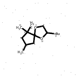 CCCCC1COC2(CC(C)CC2(C)C)O1